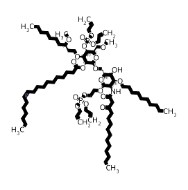 C=CCOP(=O)(OCC=C)OCCO[C@H]1O[C@H](CO[C@@H]2O[C@H](COC)[C@@H](OP(=O)(OCC=C)OCC=C)[C@H](OCC[C@@H](CCCCCCC)OC)[C@H]2OC(=O)CCCCCCCCC/C=C\CCCCCC)[C@@H](O)[C@H](OCCCCCCCCCC)[C@H]1NC(=O)CC(=O)CCCCCCCCCCC